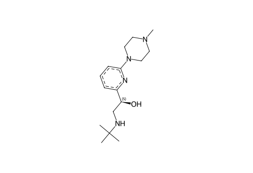 CN1CCN(c2cccc([C@@H](O)CNC(C)(C)C)n2)CC1